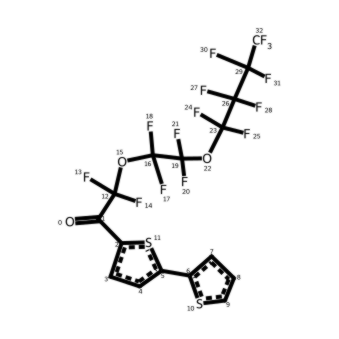 O=C(c1ccc(-c2cccs2)s1)C(F)(F)OC(F)(F)C(F)(F)OC(F)(F)C(F)(F)C(F)(F)C(F)(F)F